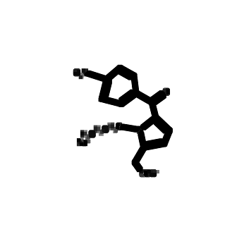 Cn1c(CC(=O)[O-])ccc1C(=O)c1ccc([N+](=O)[O-])cc1.O.O.[Na+]